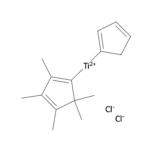 CC1=C(C)C(C)(C)[C]([Ti+2][C]2=CC=CC2)=C1C.[Cl-].[Cl-]